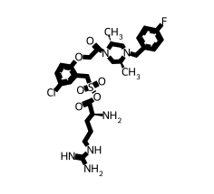 C[C@@H]1CN(Cc2ccc(F)cc2)[C@@H](C)CN1C(=O)COc1ccc(Cl)cc1CS(=O)(=O)OC(=O)[C@@H](N)CCCNC(=N)N